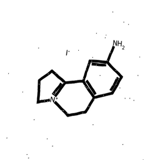 Nc1ccc2c(c1)C1=[N+](CCC1)CC2.[I-]